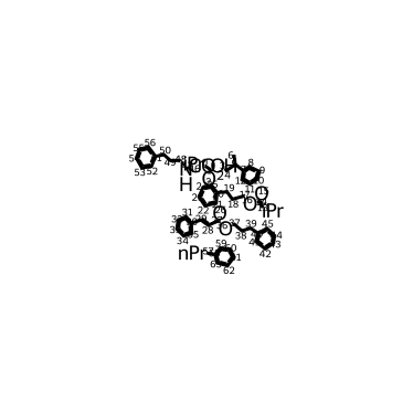 CC(C)C(=O)OCC(C)c1ccccc1.CC(C)C(=O)OCCCc1ccccc1.O=C(/C=C/c1ccccc1)OCCCc1ccccc1.O=C(O)NCCCc1ccccc1.[CH2]CCc1ccccc1